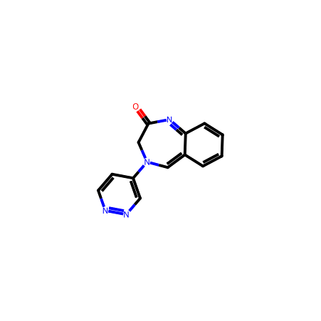 O=C1CN(c2ccnnc2)C=c2ccccc2=N1